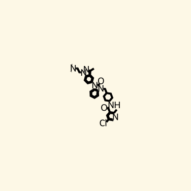 Cc1ncc(Cl)cc1C(=O)NC1CCC(Cn2c(=O)n(-c3ccc4c(c3)c(C)nn4CCN(C)C)c3ccccc32)CC1